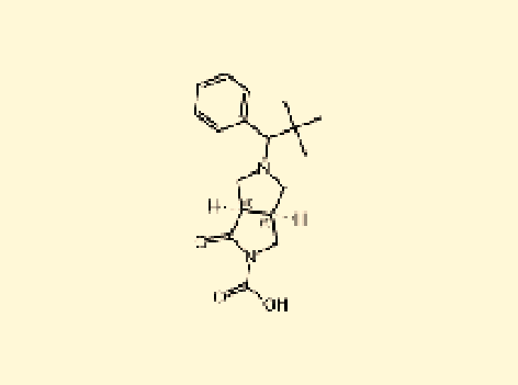 CC(C)(C)C(c1ccccc1)N1C[C@H]2CN(C(=O)O)C(=O)[C@H]2C1